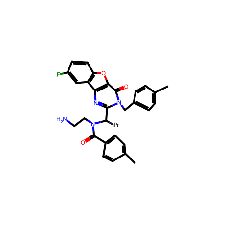 Cc1ccc(Cn2c(C(C(C)C)N(CCN)C(=O)c3ccc(C)cc3)nc3c(oc4ccc(F)cc43)c2=O)cc1